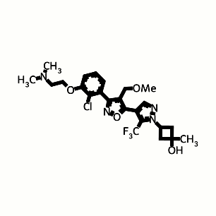 COCc1c(-c2cccc(OCCN(C)C)c2Cl)noc1-c1cnn(C2CC(C)(O)C2)c1C(F)(F)F